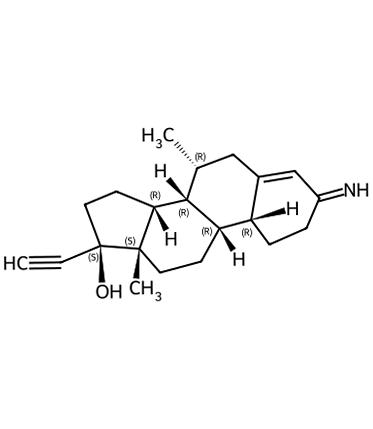 C#C[C@]1(O)CC[C@@H]2[C@H]3[C@@H](CC[C@@]21C)[C@H]1CCC(=N)C=C1C[C@H]3C